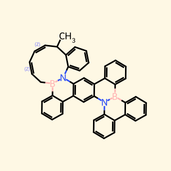 CC1/C=C\C=C/CB2c3ccccc3-c3cc4c(cc3N2c2ccccc21)-c1ccccc1B1c2ccccc2-c2ccccc2N14